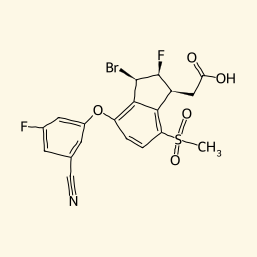 CS(=O)(=O)c1ccc(Oc2cc(F)cc(C#N)c2)c2c1[C@H](CC(=O)O)[C@H](F)[C@@H]2Br